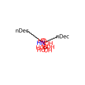 CCCCCCCCCCCCCCCCCCCCCCCCCC(=O)N[C@@H](CO[C@H]1O[C@H](CO)[C@H](O)[C@H](O)[C@H]1O)[C@H](O)[C@H](O)CCCCCCCCCCCCCCCCCCCC